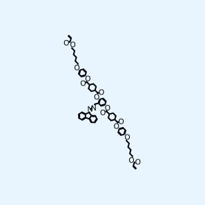 C=CC(=O)OCCCCCCOc1ccc(OC(=O)C2CCC(C(=O)Oc3ccc(OC(=O)C4CCC(C(=O)Oc5ccc(OCCCCCCOC(=O)C=C)cc5)CC4)c(/C=N/N=C4c5ccccc5-c5ccccc54)c3)CC2)cc1